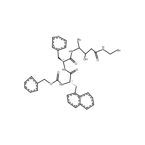 CCC(C)CNC(=O)CC(O)C(NC(=O)[C@H](Cc1ccncc1)NC(=O)[C@H](Cc1cccc2ccccc12)NC(=O)OCc1ccccc1)C(C)CC